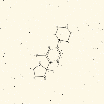 CC1(c2ncc(N3CCOCC3)cc2F)OCCO1